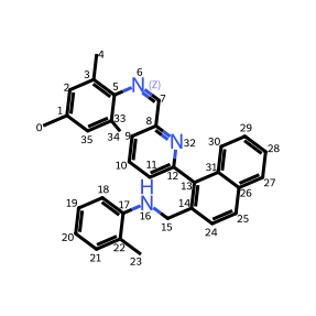 Cc1cc(C)c(/N=C\c2cccc(-c3c(CNc4ccccc4C)ccc4ccccc34)n2)c(C)c1